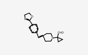 O=CC1(N2CCC(=Cc3ccc(C4=NCCO4)cc3)CC2)CC1